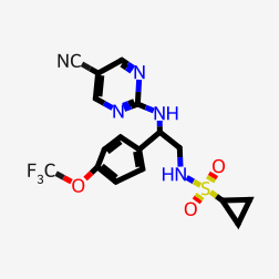 N#Cc1cnc(NC(CNS(=O)(=O)C2CC2)c2ccc(OC(F)(F)F)cc2)nc1